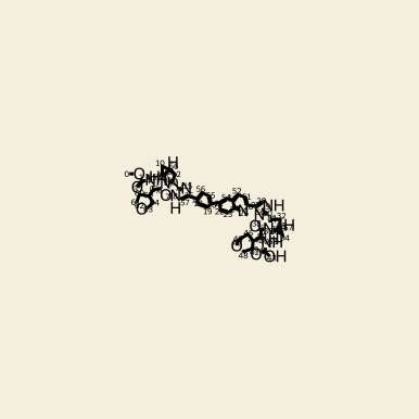 COC(=O)N[C@H](C(=O)N1[C@@H]2C[C@H]2C[C@H]1c1nc(-c2ccc(-c3ccc4nc(-c5c[nH]c([C@@H]6C[C@H]7C[C@H]7N6C(=O)[C@@H](NC(=O)O)C6CCOCC6)n5)ccc4c3)cc2)c[nH]1)C1CCOCC1